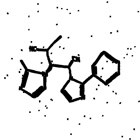 Cc1nccn1C(C(C)C#N)C(C#N)n1ccnc1-c1ccccc1